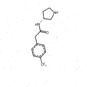 O=C(Cc1ccc(C(F)(F)F)cc1)N[C@@H]1CCNC1